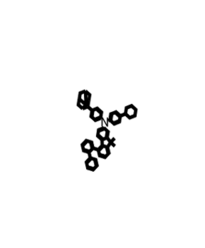 CC1(C)c2cc(N(c3ccc(C4CCCCC4)cc3)c3ccc(C4C5CC6CC(C5)CC4C6)cc3)ccc2-c2c(-c3ccccc3-c3ccccc3)cccc21